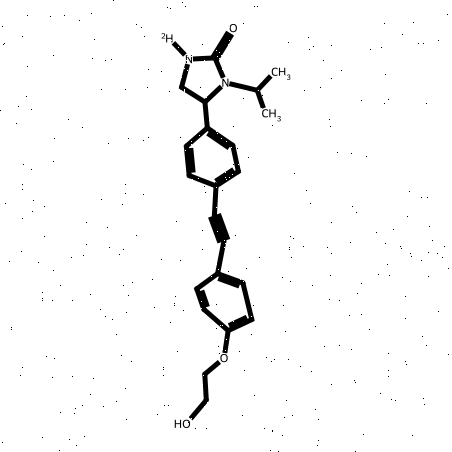 [2H]N1CC(c2ccc(C#Cc3ccc(OCCO)cc3)cc2)N(C(C)C)C1=O